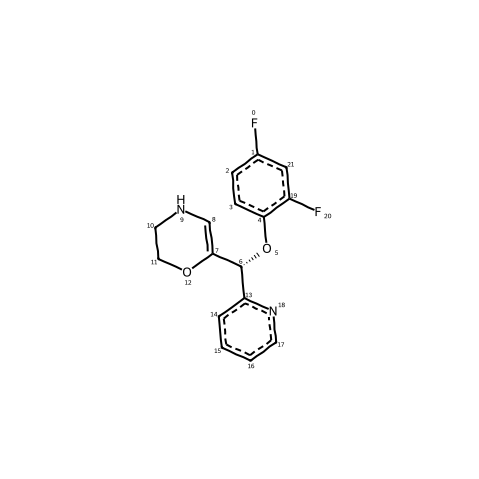 Fc1ccc(O[C@@H](C2=CNCCO2)c2ccccn2)c(F)c1